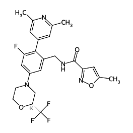 Cc1cc(-c2c(F)cc(N3CCO[C@@H](C(F)(F)F)C3)cc2CNC(=O)c2cc(C)on2)cc(C)n1